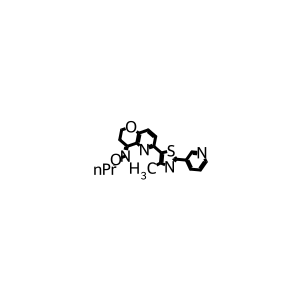 CCCO/N=C1\CCOc2ccc(-c3sc(-c4cccnc4)nc3C)nc21